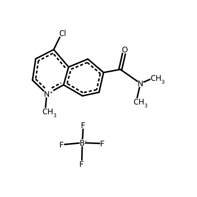 CN(C)C(=O)c1ccc2c(c1)c(Cl)cc[n+]2C.F[B-](F)(F)F